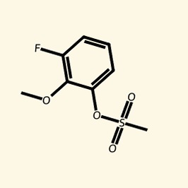 COc1c(F)cccc1OS(C)(=O)=O